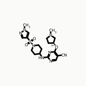 CN1CC[C@H](Oc2nc(NC3CCN(S(=O)(=O)c4cnn(C)c4)CC3)ncc2C#N)C1